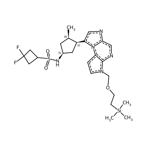 C[C@@H]1C[C@H](NS(=O)(=O)C2CC(F)(F)C2)C[C@@H]1c1cnc2cnc3c(ccn3COCC[Si](C)(C)C)n12